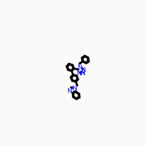 c1ccc(Cn2nnnc2-c2ccccc2-c2ccc(Cn3cnc4ccccc43)cc2)cc1